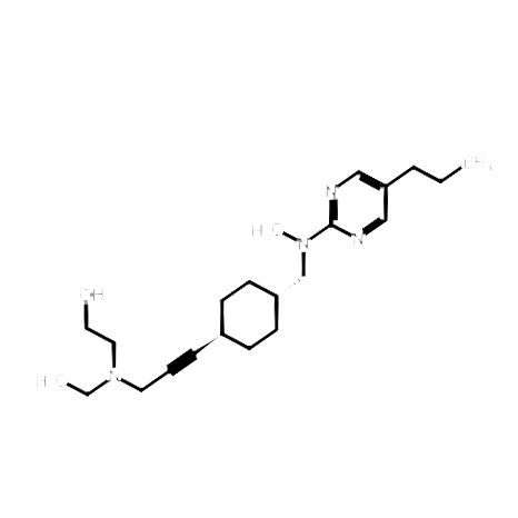 CCCc1cnc(N(C)C[C@H]2CC[C@H](C#CCN(CC)CCO)CC2)nc1